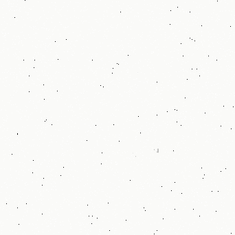 CC(C)S(=O)(=O)C(c1ccccc1)c1c(-c2ccccc2OC(F)(F)F)ccc2[nH]cnc12